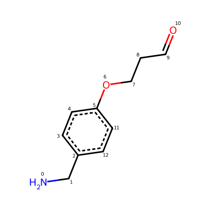 NCc1ccc(OCCC=O)cc1